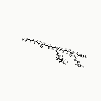 CCCCCCCOC(=O)CCCCCCCN(CCCCCCCC(=O)OC(CCCC)CCCCCC)CCCNC(=S)N(C)C